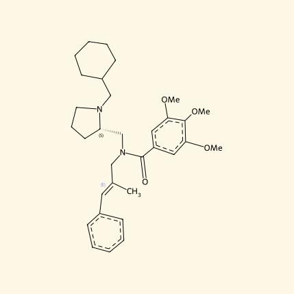 COc1cc(C(=O)N(C/C(C)=C/c2ccccc2)C[C@@H]2CCCN2CC2CCCCC2)cc(OC)c1OC